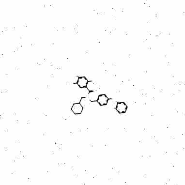 O=C(O)c1cc(C(=O)O)c(C(=O)N(Cc2ccc(Oc3ccccc3)cc2)CC2CCCCC2)cc1C(=O)O